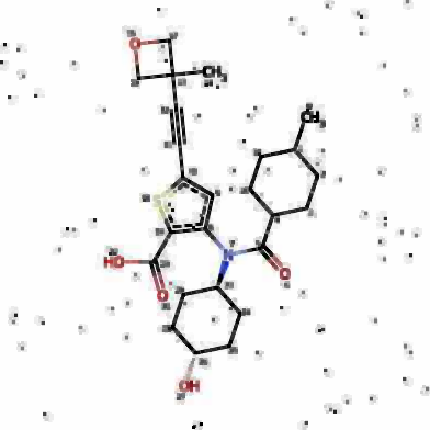 CC1CCC(C(=O)N(c2cc(C#CC3(C)COC3)sc2C(=O)O)[C@H]2CC[C@H](O)CC2)CC1